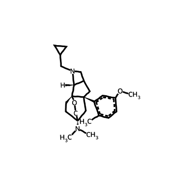 COc1ccc(C)c([C@]23CC4CN(CC5CC5)[C@H]4[C@]24CC[C@@](N(C)C)(CO4)C3)c1